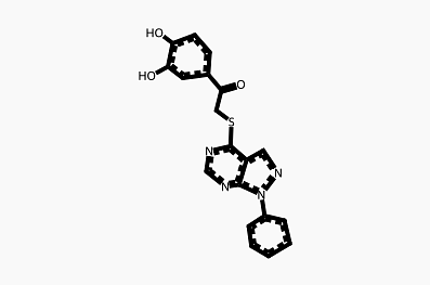 O=C(CSc1ncnc2c1cnn2-c1ccccc1)c1ccc(O)c(O)c1